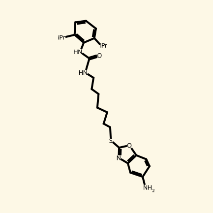 CC(C)c1cccc(C(C)C)c1NC(=O)NCCCCCCCSc1nc2cc(N)ccc2o1